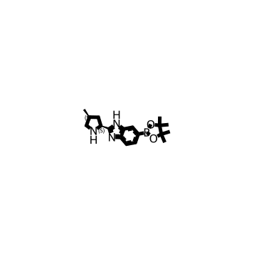 C[C@@H]1CN[C@H](c2nc3ccc(B4OC(C)(C)C(C)(C)O4)cc3[nH]2)C1